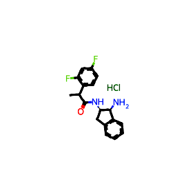 CC(C(=O)N[C@H]1Cc2ccccc2[C@@H]1N)c1ccc(F)cc1F.Cl